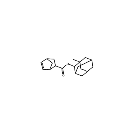 CC12CC3CC(CC(C3)C1OC(=O)C1CC3C=CC1C3)C2